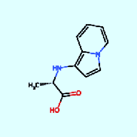 C[C@H](Nc1ccn2ccccc12)C(=O)O